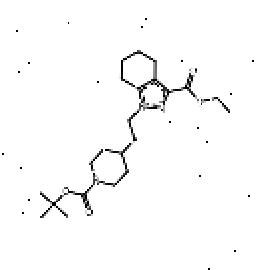 CCOC(=O)c1nn(CCC2CCN(C(=O)OC(C)(C)C)CC2)c2c1CCCC2